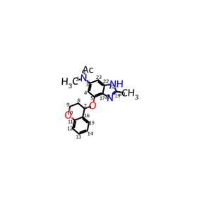 CC(=O)N(C)c1cc(OC2CCOc3ccccc32)c2nc(C)[nH]c2c1